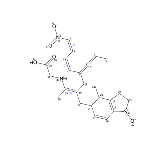 CC=C=C(/C=C\C=C/[N+](=O)[O-])C/C(CC1C=CC2=C(CC[S+]2[O-])C1C)=C(/C)NCC(=O)O